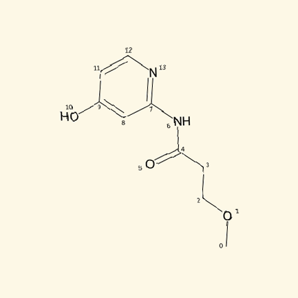 COCCC(=O)Nc1cc(O)ccn1